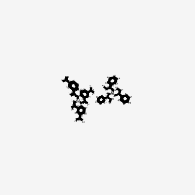 CC(C)c1cccc(C(C)[CH2][Al]([CH2]C(C)c2cccc(C(C)C)c2)[CH2]C(C)c2cccc(C(C)C)c2)c1.CCC([CH2][Al]([CH2]C(CC)c1ccccc1)[CH2]C(CC)c1ccccc1)c1ccccc1